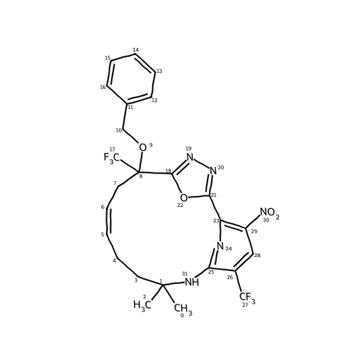 CC1(C)CCC=CCC(OCc2ccccc2)(C(F)(F)F)c2nnc(o2)-c2nc(c(C(F)(F)F)cc2[N+](=O)[O-])N1